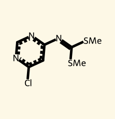 CSC(=Nc1cc(Cl)ncn1)SC